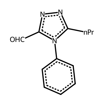 CCCc1nnc(C=O)n1-c1ccccc1